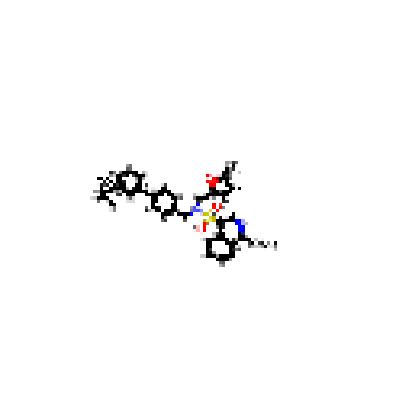 COc1ncc(S(=O)(=O)N(Cc2ccc(-c3cccc(C(C)(C)C(=O)O)c3)cc2)Cc2ccc(C(F)(F)F)o2)c2ccccc12